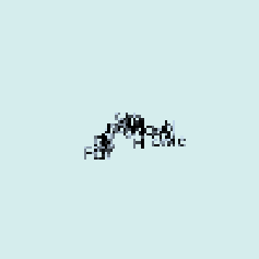 COc1cc(NC(=O)C(=O)NC(C)(C)CN2CCN(S(=O)(=O)c3cc(F)ccc3F)CC2)ccc1-c1cnco1